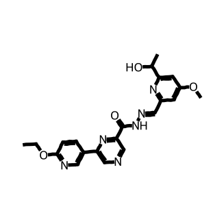 CCOc1ccc(-c2cncc(C(=O)N/N=C/c3cc(OC)cc(C(C)O)n3)n2)cn1